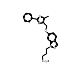 CCOC(=O)CCCn1ncc2ccc(OCc3nc(-c4ccccc4)oc3C)cc21